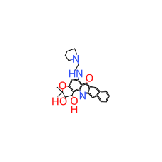 Cn1c2cc3ccccc3cc2c(=O)c2c(NCCN3CCCCC3)cc3c(c21)[C@H](O)[C@H](O)C(C)(C)O3